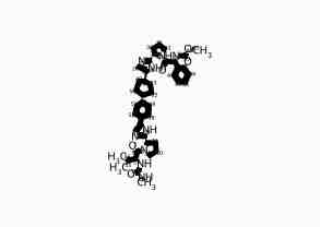 CNC(=O)N[C@H](C(=O)N1CCC[C@H]1c1ncc(-c2ccc([C@H]3CC[C@H](c4cnc([C@@H]5CCCN5C(=O)[C@H](NC(=O)OC)c5ccccc5)[nH]4)CC3)cc2)[nH]1)C(C)C